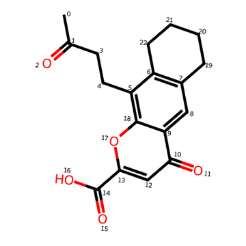 CC(=O)CCc1c2c(cc3c(=O)cc(C(=O)O)oc13)CCCC2